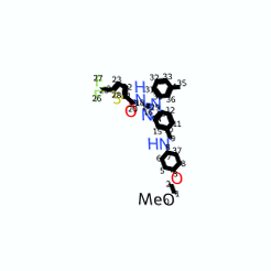 COCCO[C@H]1CC[C@H](NCc2ccc3c(c2)nc(NC(=O)c2ccc(C(F)F)s2)n3-c2cccc(C)c2)CC1